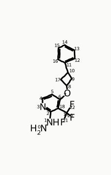 NNc1nccc(OC2CC(c3ccccc3)C2)c1C(F)(F)F